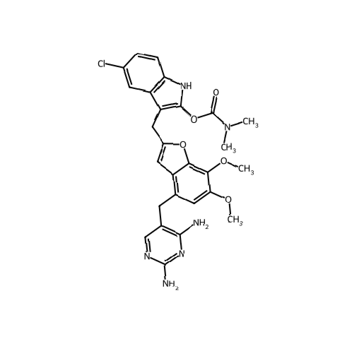 COc1cc(Cc2cnc(N)nc2N)c2cc(Cc3c(OC(=O)N(C)C)[nH]c4ccc(Cl)cc34)oc2c1OC